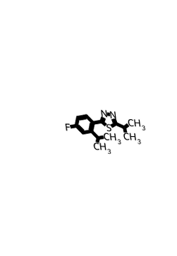 CC(C)c1nnc(-c2ccc(F)cc2C(C)C)s1